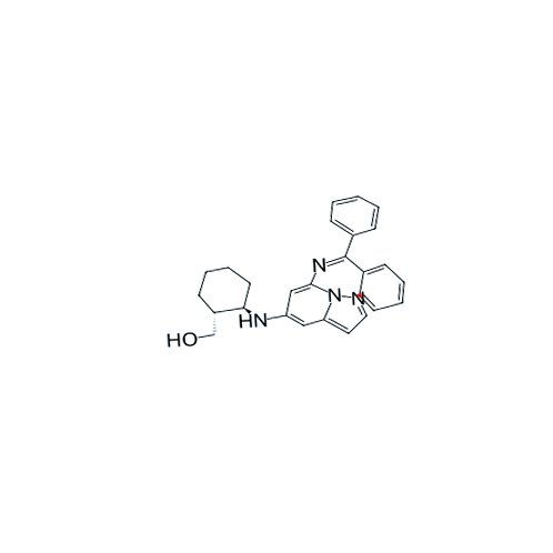 OC[C@@H]1CCCC[C@H]1Nc1cc(N=C(c2ccccc2)c2ccccc2)n2nccc2c1